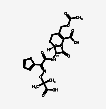 CC(=O)OCC1=C(C(=O)O)N2C(=O)[C@@H](NC(=O)C(=NOC(C)(C)C(=O)O)c3cccs3)[C@H]2SC1